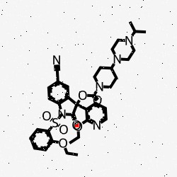 CCOc1ccccc1S(=O)(=O)N1C(=O)C(OC(=O)N2CCC(N3CCN(C(C)C)CC3)CC2)(c2cccnc2OCC)c2cc(C#N)ccc21